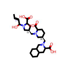 C/C=C/C(O)N1C[C@H](CN2C[C@H](CN3CC4CCCCC4CC3C(=O)O)CCC2C(=O)O)CC1C(=O)O